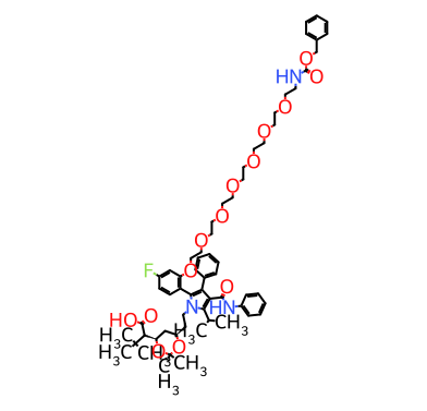 CC(C)c1c(C(=O)Nc2ccccc2)c(-c2ccccc2)c(-c2ccc(F)cc2OCCOCCOCCOCCOCCOCCOCCNC(=O)OCc2ccccc2)n1CC[C@@H]1C[C@H](C(C(=O)O)C(C)(C)C)OC(C)(C)O1